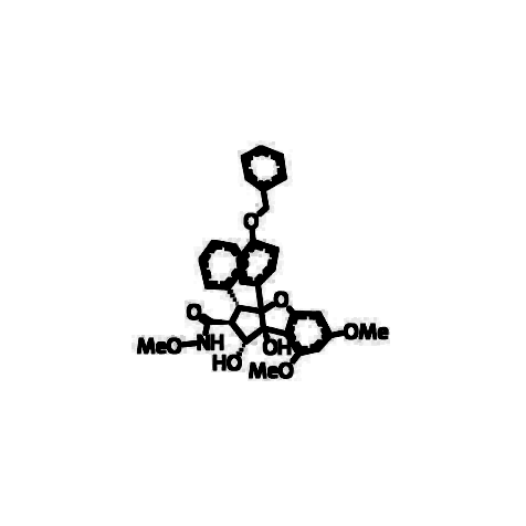 CONC(=O)[C@@H]1[C@@H](O)[C@@]2(O)c3c(OC)cc(OC)cc3OC2(c2ccc(OCc3ccccc3)cc2)[C@H]1c1ccccc1